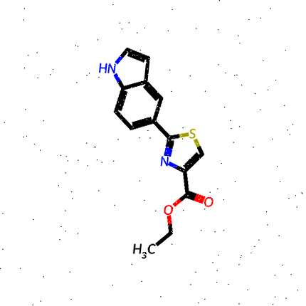 CCOC(=O)c1csc(-c2ccc3[nH]ccc3c2)n1